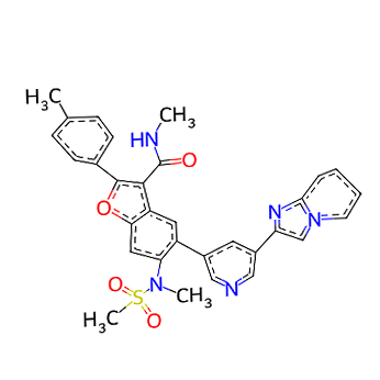 CNC(=O)c1c(-c2ccc(C)cc2)oc2cc(N(C)S(C)(=O)=O)c(-c3cncc(-c4cn5ccccc5n4)c3)cc12